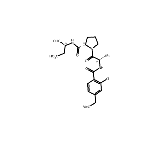 COCc1ccc(C(=O)N[C@H](C(=O)N2CCC[C@H]2C(=O)N[C@H](C=O)CC(=O)O)C(C)(C)C)c(Cl)c1